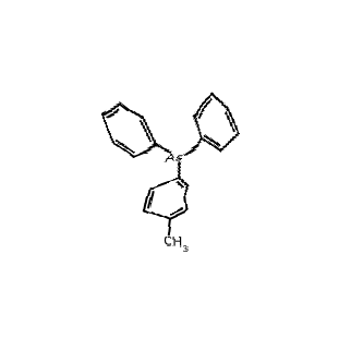 Cc1ccc([As](c2ccccc2)c2ccccc2)cc1